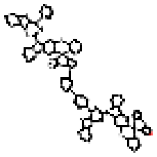 c1ccc(-c2nc(-n3c4ccccc4c4cc5c(cc43)Sc3ccccc3C53c4ccccc4-c4c(-c5cccc(-c6ccc(-c7nc(-n8c9ccccc9c9cc%10c(cc98)Sc8ccccc8C%108c9ccccc9-c9ccccc98)nc8c7sc7ccccc78)cc6)c5)cccc43)nc3c2sc2ccccc23)cc1